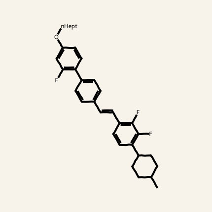 CCCCCCCOc1ccc(-c2ccc(/C=C/c3ccc(C4CCC(C)CC4)c(F)c3F)cc2)c(F)c1